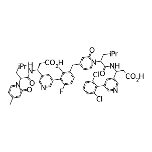 Cc1ccn(C(CC(C)C)C(=O)N[C@@H](CC(=O)O)c2cncc(-c3c(F)ccc(Cc4ccn(C(CC(C)C)C(=O)N[C@@H](CC(=O)O)c5cncc(-c6c(Cl)cccc6Cl)c5)c(=O)c4)c3C)c2)c(=O)c1